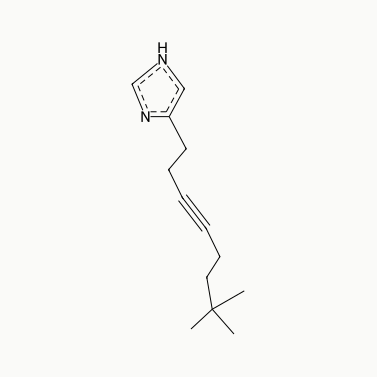 CC(C)(C)CCC#CCCc1c[nH]cn1